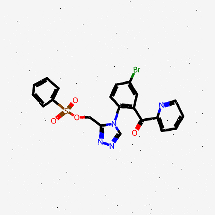 O=C(c1ccccn1)c1cc(Br)ccc1-n1cnnc1COS(=O)(=O)c1ccccc1